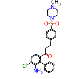 CN1CCN(S(=O)(=O)c2ccc(CCC(=O)c3ccc(Cl)c(N)c3-c3ccccc3)cc2)CC1